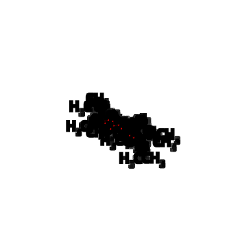 CC(C)c1cccc(N(c2ccc(C(C)C)cc2-c2ccc(C(C)(C)C)cc2)c2ccc3c4cc5c(cc4n4c6ccccc6c2c34)c2ccc(N(c3cccc(C(C)C)c3)c3ccc(C(C)C)cc3-c3ccc(C(C)(C)C)cc3)c3c4ccccc4n5c23)c1